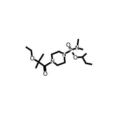 CCOC(C)(C)C(=O)N1CCN(P(=O)(OC(C)CC)N(C)C)CC1